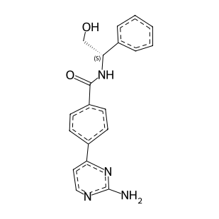 Nc1nccc(-c2ccc(C(=O)N[C@H](CO)c3ccccc3)cc2)n1